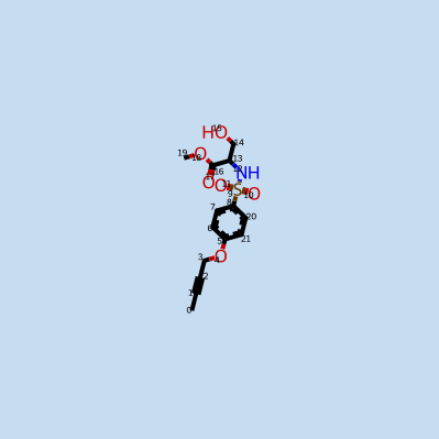 CC#CCOc1ccc(S(=O)(=O)NC(CO)C(=O)OC)cc1